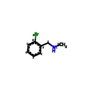 CNCc1ccccc1Br